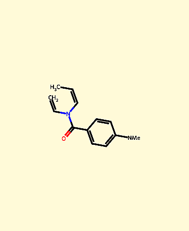 C=CN(/C=C\C)C(=O)c1ccc(NC)cc1